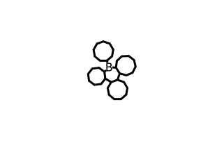 C1CCCCC(B2C3CCCCCCCC3C3CCCCCCCC3C3CCCCCCC23)CCC1